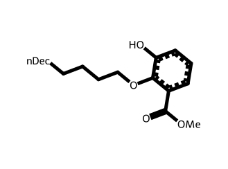 CCCCCCCCCCCCCCOc1c(O)cccc1C(=O)OC